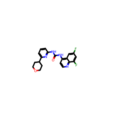 O=C(Nc1cccc(C2CCOCC2)n1)Nc1ccnc2c(F)cc(F)cc12